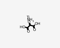 N.O=C(O)C(=O)C(=O)O.[Ti]